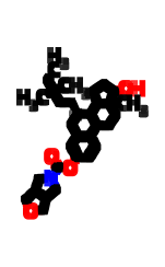 CCC(C)(C)CC[C@@H]1Cc2cc(OC(=O)N3CC4COCC4C3)ccc2C2CCC3(C)C(O)CCC3C21